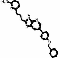 Nc1cccc(CCCc2nc3cc(-c4ccc(OCc5ccccc5)cc4)cnc3[nH]2)n1